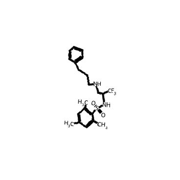 Cc1cc(C)c(S(=O)(=O)NC(CNCCCc2ccccc2)C(F)(F)F)c(C)c1